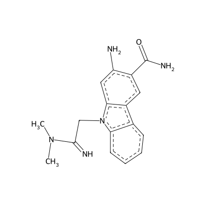 CN(C)C(=N)Cn1c2ccccc2c2cc(C(N)=O)c(N)cc21